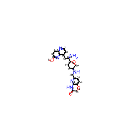 COc1ccc2nccc(CC(N)C3CCC(NCc4ccc5c(n4)NC(=O)CO5)CO3)c2n1